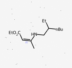 CCCCC(CC)CN/C(C)=C\C(=O)OCC